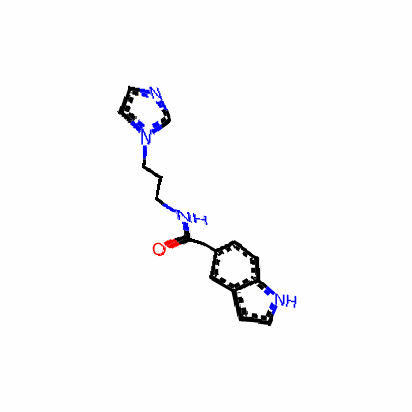 O=C(NCCCn1ccnc1)c1ccc2[nH]ccc2c1